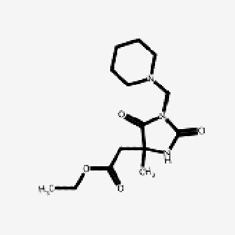 CCOC(=O)CC1(C)NC(=O)N(CN2CCCCC2)C1=O